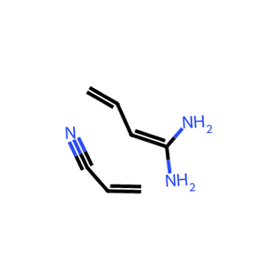 C=CC#N.C=CC=C(N)N